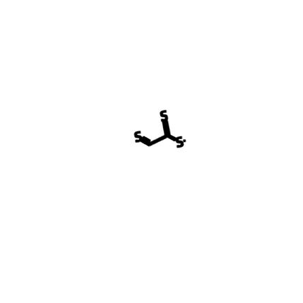 [S]C(=S)C=S